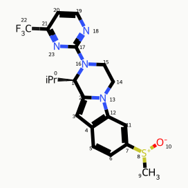 CC(C)[C@@H]1c2cc3ccc([S+](C)[O-])cc3n2CCN1c1nccc(C(F)(F)F)n1